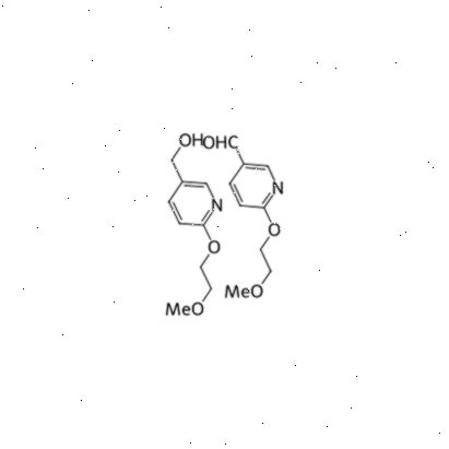 COCCOc1ccc(C=O)cn1.COCCOc1ccc(CO)cn1